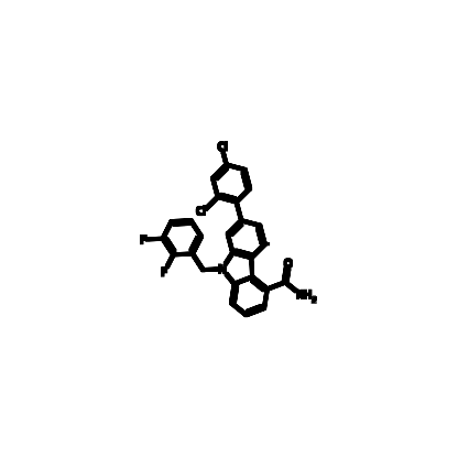 NC(=O)c1cccc2c1c1[c]cc(-c3ccc(Cl)cc3Cl)cc1n2Cc1cccc(F)c1F